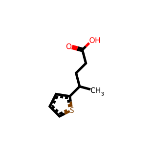 CC(CCC(=O)O)c1cccs1